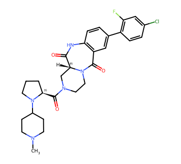 CN1CCC(N2CCC[C@H]2C(=O)N2CCN3C(=O)c4cc(-c5ccc(Cl)cc5F)ccc4NC(=O)[C@H]3C2)CC1